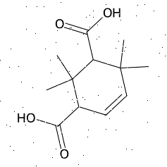 CC1(C)C=CC(C(=O)O)C(C)(C)C1C(=O)O